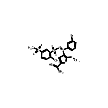 CSc1sc(C(=N)N)cc1/S(=N\S(=O)(=O)c1cc(S(C)(=O)=O)ccc1C)c1cccc(Br)c1